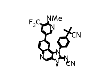 CNc1ncc(-c2ccc3ncc4c(c3c2)n(-c2ccc(C(C)(C)C#N)cc2)c(=NC#N)n4C)cc1C(F)(F)F